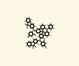 Cc1ccc(N(c2ccc(C3(c4ccc(N(c5ccc6c(c5)C(C)(C)c5ccccc5-6)c5ccc(C)cc5C)cc4)c4ccccc4N(c4ccccc4)c4ccccc43)cc2)c2ccc3c(c2)C(C)(C)c2ccccc2-3)c(C)c1